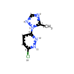 Cc1ncnn1-c1ccc(Cl)nn1